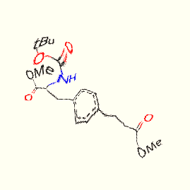 COC(=O)CCc1ccc(CC(NC(=O)OC(C)(C)C)C(=O)OC)cc1